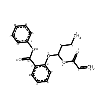 C=CC(=O)OC(CCC)Oc1ccccc1C(=O)Oc1[c]cccc1